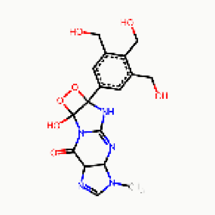 CN1C=NC2C(=O)N3C(=NC21)NC1(c2cc(CO)c(CO)c(CO)c2)OOC31O